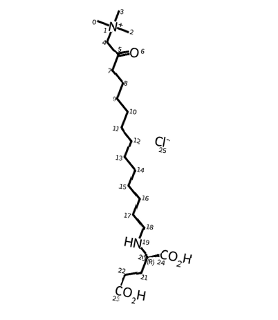 C[N+](C)(C)CC(=O)CCCCCCCCCCCCN[C@H](CCC(=O)O)C(=O)O.[Cl-]